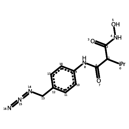 CC(C)C(C(=O)NO)C(=O)Nc1ccc(CN=[N+]=[N-])cc1